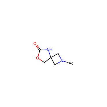 CC(=O)N1CC2(COC(=O)N2)C1